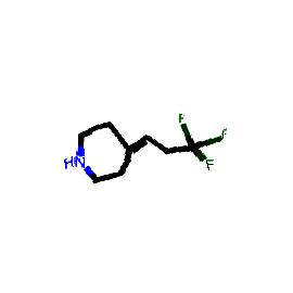 FC(F)(F)CC=C1CCNCC1